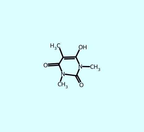 Cc1c(O)n(C)c(=O)n(C)c1=O